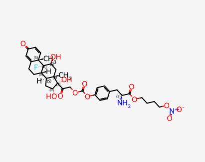 C[C@]12C=CC(=O)C=C1CC[C@H]1[C@@H]3C[C@@H](O)[C@](O)(C(=O)COC(=O)Oc4ccc(C[C@H](N)C(=O)OCCCCO[N+](=O)[O-])cc4)[C@@]3(C)C[C@H](O)[C@@]12F